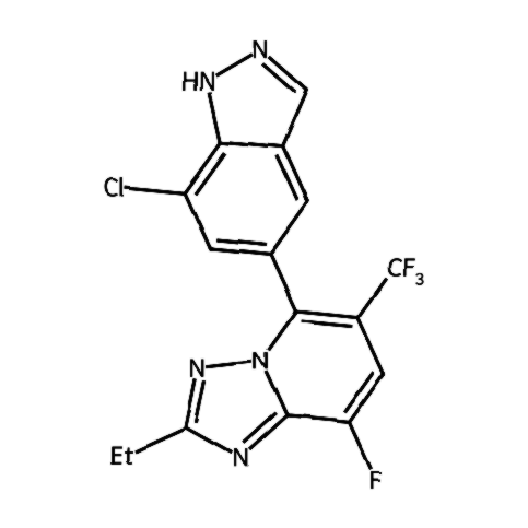 CCc1nc2c(F)cc(C(F)(F)F)c(-c3cc(Cl)c4[nH]ncc4c3)n2n1